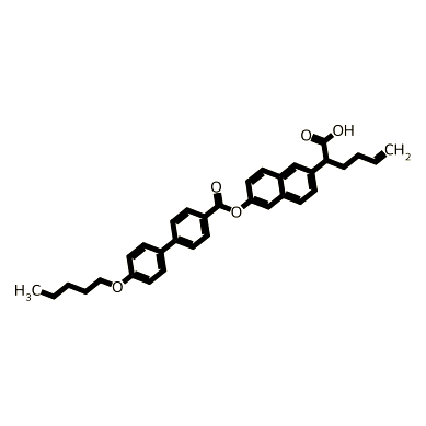 C=CCCC(C(=O)O)c1ccc2cc(OC(=O)c3ccc(-c4ccc(OCCCCC)cc4)cc3)ccc2c1